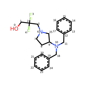 OCC(F)(F)CN1CCC(N(Cc2ccccc2)Cc2ccccc2)C1